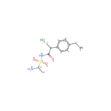 CC(C)Cc1ccc(C(C)C(=O)NS(=O)(=O)C(C)N)cc1.Cl